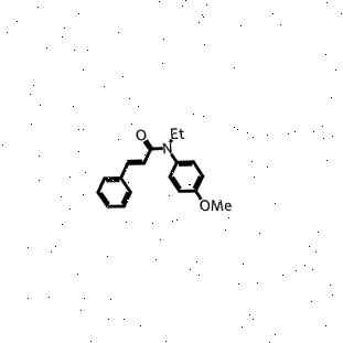 CCN(C(=O)/C=C/c1ccccc1)c1ccc(OC)cc1